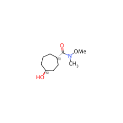 CON(C)C(=O)[C@H]1CCC[C@H](O)CC1